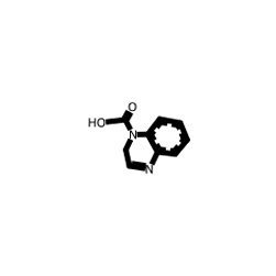 O=C(O)N1CC=Nc2ccccc21